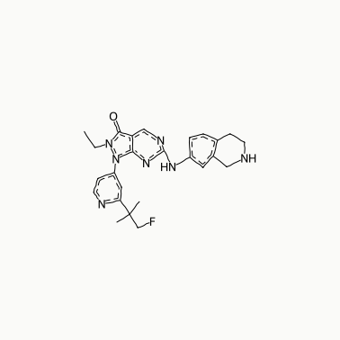 CCn1c(=O)c2cnc(Nc3ccc4c(c3)CNCC4)nc2n1-c1ccnc(C(C)(C)CF)c1